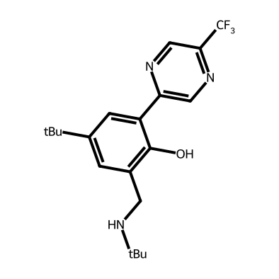 CC(C)(C)NCc1cc(C(C)(C)C)cc(-c2cnc(C(F)(F)F)cn2)c1O